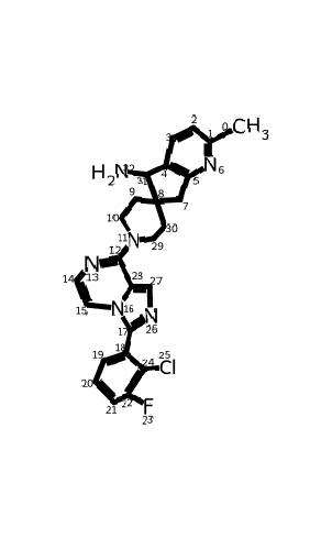 Cc1ccc2c(n1)CC1(CCN(c3nccn4c(-c5cccc(F)c5Cl)ncc34)CC1)C2N